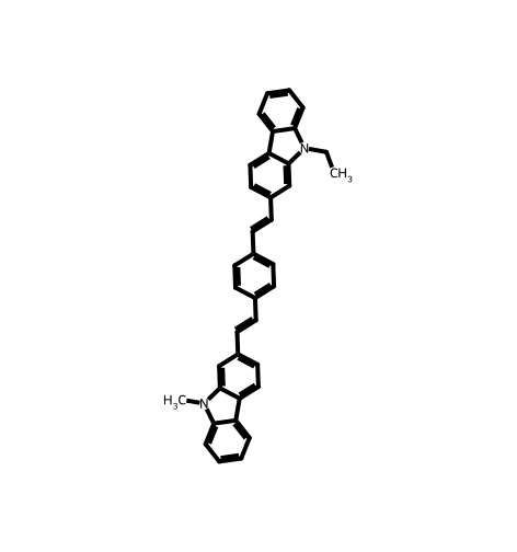 CCn1c2ccccc2c2ccc(C=Cc3ccc(C=Cc4ccc5c6ccccc6n(C)c5c4)cc3)cc21